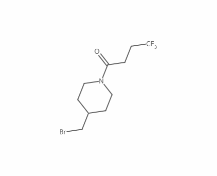 O=C(CCC(F)(F)F)N1CCC(CBr)CC1